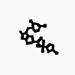 Cc1nc2ccc(C(=O)NS(=O)(=O)c3ccc(Br)s3)cc2n1Cc1ccc(Cl)cc1Cl